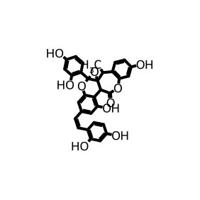 CC1c2ccc(O)cc2OC(=O)C2c3c(O)cc(/C=C\c4ccc(O)cc4O)cc3OC3(c4ccc(O)cc4O)OC123